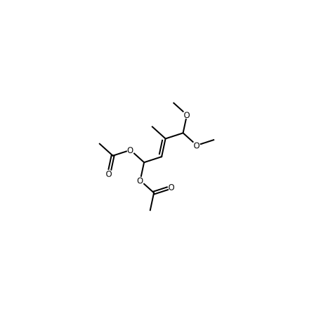 COC(OC)C(C)=CC(OC(C)=O)OC(C)=O